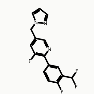 Fc1ccc(-c2ncc(Cn3cccn3)cc2F)cc1C(F)F